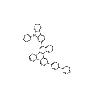 c1ccc(-n2c3ccccc3c3ccc(-c4cc5c6ccccc6c6ncc(-c7ccc(-c8ccncc8)cc7)cc6c5c5ccccc45)cc32)cc1